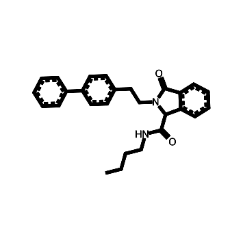 CCCCNC(=O)C1c2ccccc2C(=O)N1CCc1ccc(-c2ccccc2)cc1